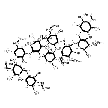 CCCCCN[C@H]1[C@H](O)[C@H](O)[C@@H](O[C@@H]2[C@@H](O[C@@H]3[C@@H](O[C@@H]4[C@@H](O[C@@H]5[C@H](O)[C@@H](O[C@@H]6[C@@H](O[C@@H]7[C@@H](O[C@@H]8[C@@H](O[C@H]9[C@@H](O)[C@H](NCCCCC)[C@@H](C)O[C@@H]9O)O[C@H](C)[C@@H](NCCCCC)[C@@H]8O)O[C@H](C)[C@@H](NCCCCC)[C@@H]7O)O[C@H](C)[C@@H](NCCCCC)[C@@H]6O)O[C@H](C)[C@H]5NCCCCC)O[C@H](C)[C@@H](NCCCCC)[C@@H]4O)O[C@H](C)[C@@H](NCCCCC)[C@@H]3O)O[C@H](C)[C@@H](NCCCCC)[C@@H]2O)O[C@@H]1C